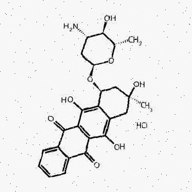 C[C@@H]1O[C@@H](O[C@H]2C[C@@](C)(O)Cc3c(O)c4c(c(O)c32)C(=O)c2ccccc2C4=O)C[C@H](N)[C@H]1O.Cl